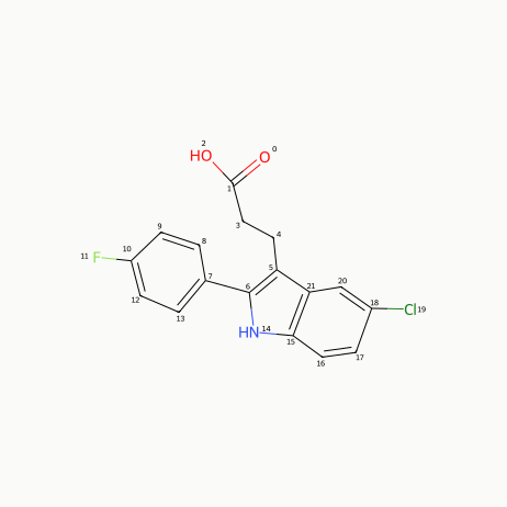 O=C(O)CCc1c(-c2ccc(F)cc2)[nH]c2ccc(Cl)cc12